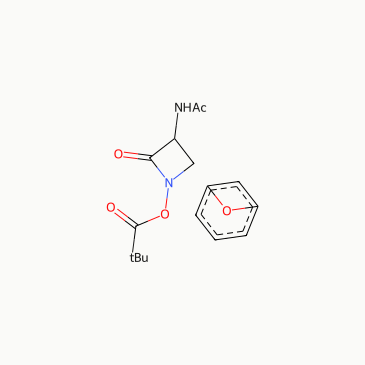 CC(=O)NC1CN(OC(=O)C(C)(C)C)C1=O.c1cc2cc(c1)O2